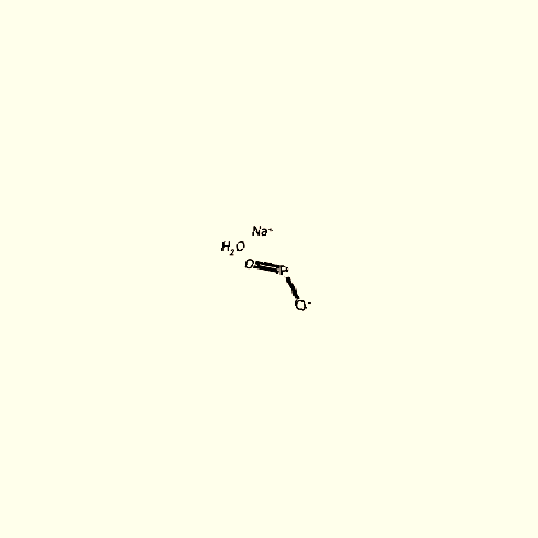 O.O=P[O-].[Na+]